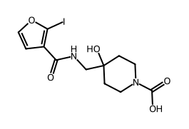 O=C(NCC1(O)CCN(C(=O)O)CC1)c1ccoc1I